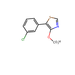 O=C(O)Oc1ncsc1-c1cccc(Cl)c1